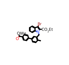 CCOC(=O)c1c(Br)c2ccccc2n1Cc1cc(-c2ccc(C(=O)OC)cc2)ccc1C